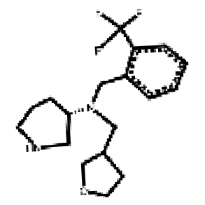 FC(F)(F)c1ccccc1CN(CC1CCOC1)[C@H]1CCCNC1